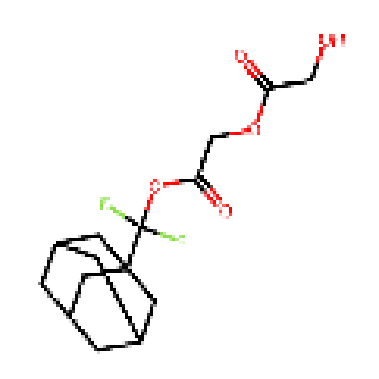 O=C(CO)OCC(=O)OC(F)(F)C12CC3CC(CC(C3)C1)C2